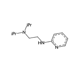 CC(C)N(CCNc1ccccn1)C(C)C